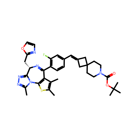 Cc1sc2c(c1C)C(c1ccc(C=C3CC4(CCN(C(=O)OC(C)(C)C)CC4)C3)cc1F)=N[C@@H](Cc1ncco1)c1nnc(C)n1-2